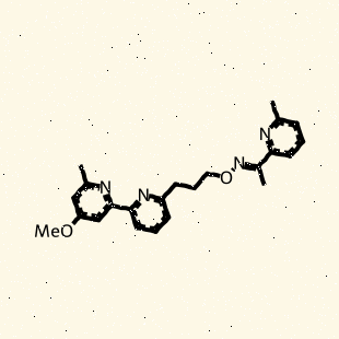 COc1cc(C)nc(-c2cccc(CCCO/N=C(\C)c3cccc(C)n3)n2)c1